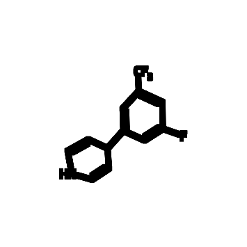 Fc1cc(C2C=CNC=C2)cc(C(F)(F)F)c1